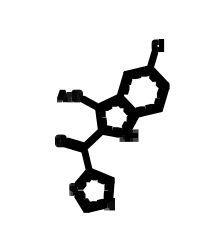 CC(=O)Oc1c(C(=O)c2cncs2)[nH]c2ccc(Cl)cc12